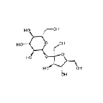 OC[C@@H]1O[C@@H](O[C@@]2(CO)O[C@@H](CO)[C@H](O)[C@H]2O)[C@@H](O)[C@H](O)[C@H]1O